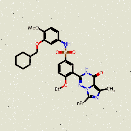 CCCc1nc(C)c2c(=O)[nH]c(-c3cc(S(=O)(=O)Nc4ccc(OC)c(OCC5CCCCC5)c4)ccc3OCC)nn12